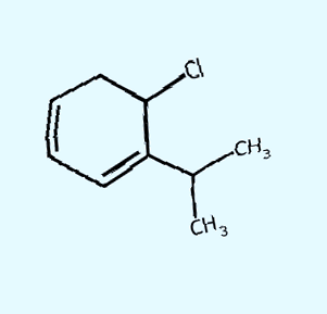 CC(C)C1=CC=CCC1Cl